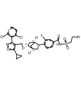 CC(C)CCS(=O)(=O)NC(=O)c1ccc(N2C[C@@H]3C[C@H]2C[C@H]3OCc2c(-c3c(Cl)cccc3Cl)noc2C2CC2)c(F)c1